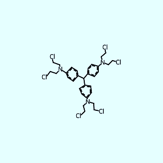 ClCCN(CCCl)c1ccc(C(c2ccc(N(CCCl)CCCl)cc2)c2ccc(N(CCCl)CCCl)cc2)cc1